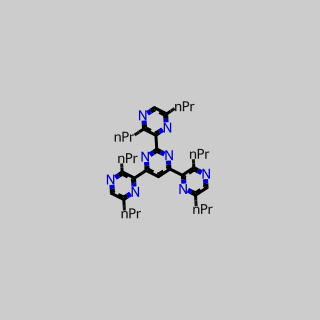 CCCc1cnc(CCC)c(-c2cc(-c3nc(CCC)cnc3CCC)nc(-c3nc(CCC)cnc3CCC)n2)n1